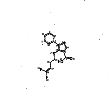 O=C(O)c1cnn(-c2ccccc2)c1SCCC=C(F)F